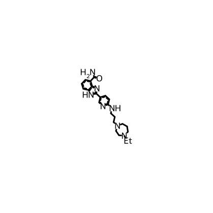 CCN1CCCN(CCCNc2ccc(-c3nc4c(C(N)=O)cccc4[nH]3)cn2)CC1